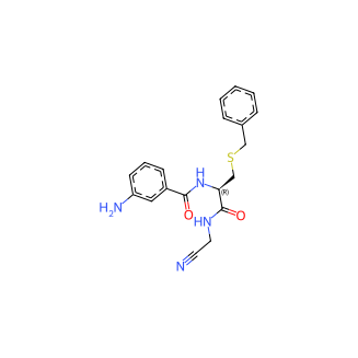 N#CCNC(=O)[C@H](CSCc1ccccc1)NC(=O)c1cccc(N)c1